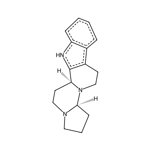 c1ccc2c3c([nH]c2c1)[C@@H]1CCN2CCC[C@@H]2N1CC3